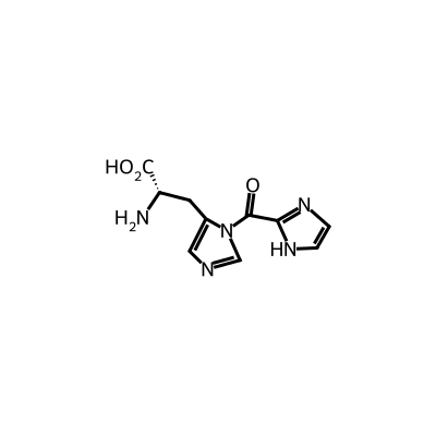 N[C@@H](Cc1cncn1C(=O)c1ncc[nH]1)C(=O)O